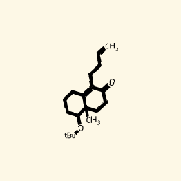 C=CCCC1=C2CCCC(OC(C)(C)C)C2(C)CCC1=O